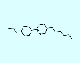 CCCCCCC1CN=C(C2CCC(CCC)CC2)OC1